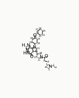 CCN1CC[C@@H]1/C=C/C(=O)N1CC[C@@H](c2cn(-c3ccc(Oc4ccccc4)cc3)c3c(N)n[nH]c(=O)c23)C1